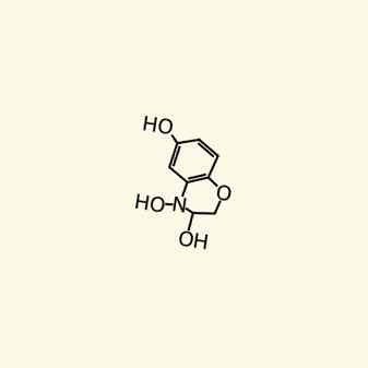 Oc1ccc2c(c1)N(O)C(O)CO2